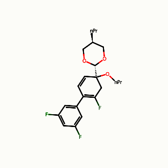 CCCOC1([C@H]2OC[C@H](CCC)CO2)C=CC(c2cc(F)cc(F)c2)=C(F)C1